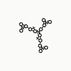 CC1(C)c2cc(-c3ccc4c5ccccc5n(-c5ccccc5)c4c3)ccc2-c2ccc(N(c3ccc(-c4ccc5c(c4)c4ccccc4n5-c4ccccc4)cc3)c3ccc4c(c3)C(C)(C)c3cc(-c5ccc6c7ccccc7n(-c7ccccc7)c6c5)ccc3-4)cc21